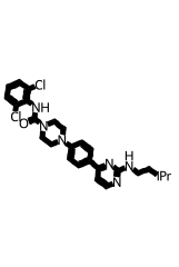 CC(C)CCNc1nccc(-c2ccc(N3CCN(C(=O)Nc4c(Cl)cccc4Cl)CC3)cc2)n1